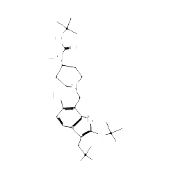 CC(C)(C)Cc1c(SC(C)(C)C)[nH]c2c(CN3CCC(NC(=O)OC(C)(C)C)CC3)c(O)ccc12